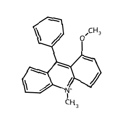 COc1cccc2c1c(-c1ccccc1)c1ccccc1[n+]2C